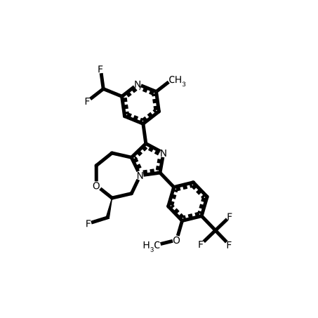 COc1cc(-c2nc(-c3cc(C)nc(C(F)F)c3)c3n2C[C@@H](CF)OCC3)ccc1C(F)(F)F